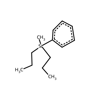 CCC[Si](C)(CCC)c1ccccc1